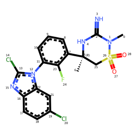 CN1C(=N)N[C@](C)(c2cccc(-n3c(Cl)nc4ccc(Cl)cc43)c2F)CS1(=O)=O